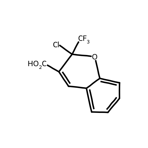 O=C(O)C1=Cc2ccccc2OC1(Cl)C(F)(F)F